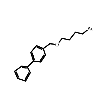 CC(=O)CCCCOCc1ccc(-c2ccccc2)cc1